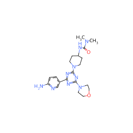 CN(C)C(=O)NC1CCN(c2nc(-c3ccc(N)nc3)nc(N3CCOCC3)n2)CC1